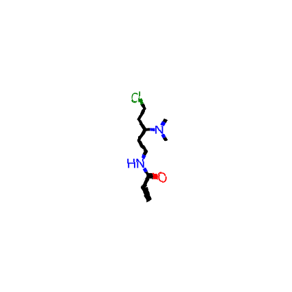 C=CC(=O)NCCC(CCCl)N(C)C